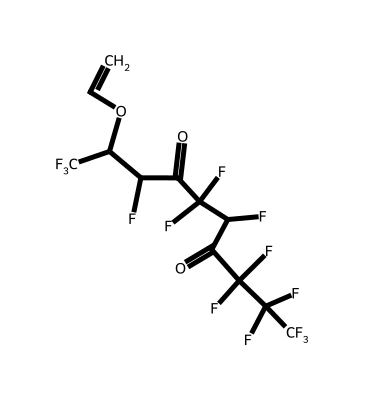 C=COC(C(F)C(=O)C(F)(F)C(F)C(=O)C(F)(F)C(F)(F)C(F)(F)F)C(F)(F)F